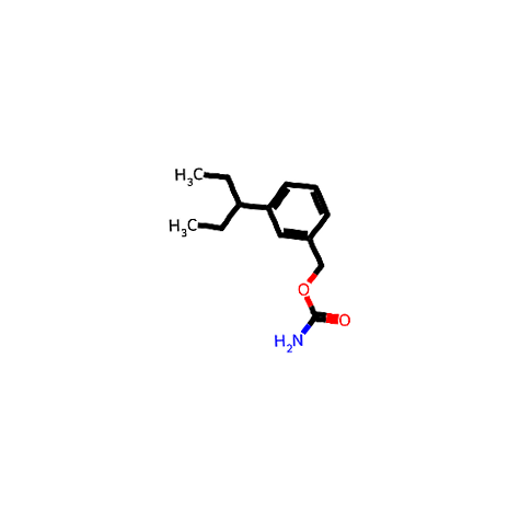 CCC(CC)c1cccc(COC(N)=O)c1